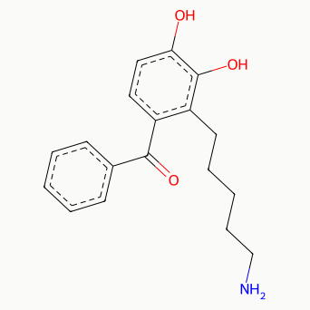 NCCCCCc1c(C(=O)c2ccccc2)ccc(O)c1O